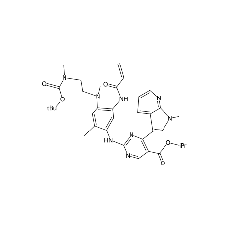 C=CC(=O)Nc1cc(Nc2ncc(C(=O)OC(C)C)c(-c3cn(C)c4ncccc34)n2)c(C)cc1N(C)CCN(C)C(=O)OC(C)(C)C